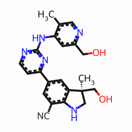 Cc1cnc(CO)cc1Nc1nccc(-c2cc(C#N)c3c(c2)[C@@](C)(CO)CN3)n1